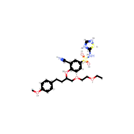 CCOCCOCC(CCc1ccc(OC)cc1)Oc1ccc(S(=O)(=O)Nc2ncns2)cc1C#N